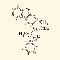 Cc1cc2oc3ccccc3c2cc1N1C(C(C)(C)C)OC(c2ccccc2)[C@@H]1C